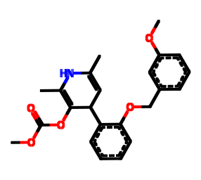 COC(=O)OC1=C(C)NC(C)=CC1c1ccccc1OCc1cccc(OC)c1